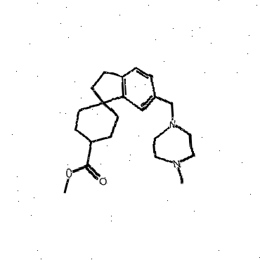 COC(=O)C1CCC2(CCc3ccc(CN4CCN(C)CC4)cc32)CC1